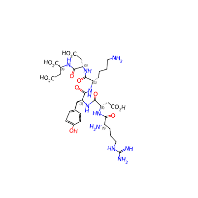 N=C(N)NCCC[C@H](N)C(=O)N[C@@H](CC(=O)O)C(=O)N[C@@H](Cc1ccc(O)cc1)C(=O)N[C@@H](CCCCN)C(=O)N[C@@H](CC(=O)O)C(=O)N[C@@H](CC(=O)O)C(=O)O